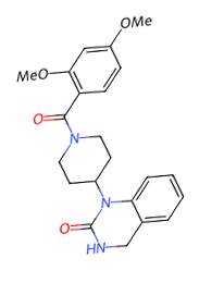 COc1ccc(C(=O)N2CCC(N3C(=O)NCc4ccccc43)CC2)c(OC)c1